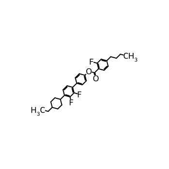 CCCCc1ccc(C(=O)Oc2ccc(-c3ccc(C4CCC(CC)CC4)c(F)c3F)cc2)c(F)c1